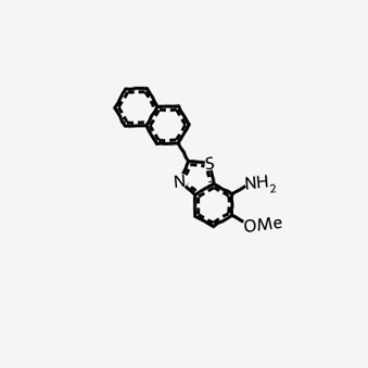 COc1ccc2nc(-c3ccc4ccccc4c3)sc2c1N